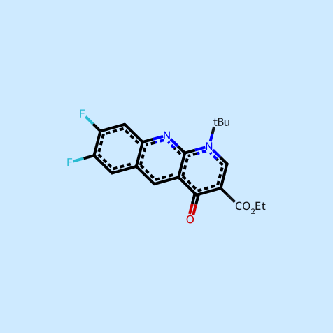 CCOC(=O)c1cn(C(C)(C)C)c2nc3cc(F)c(F)cc3cc2c1=O